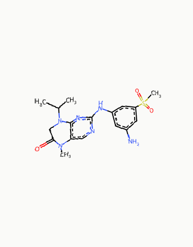 CC(C)N1CC(=O)N(C)c2cnc(Nc3cc(N)cc(S(C)(=O)=O)c3)nc21